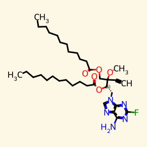 C#CC(COC(=O)CCCCCCCCCCC)(OC)[C@H](Cn1cnc2c(N)nc(F)nc21)OC(=O)CCCCCCCCCCC